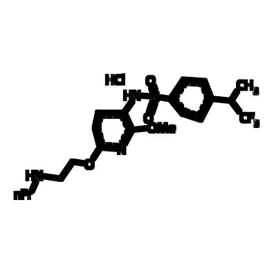 CCCNCCOc1ccc(NS(=O)(=O)c2ccc(C(C)C(F)(F)F)cc2)c(OC)n1.Cl